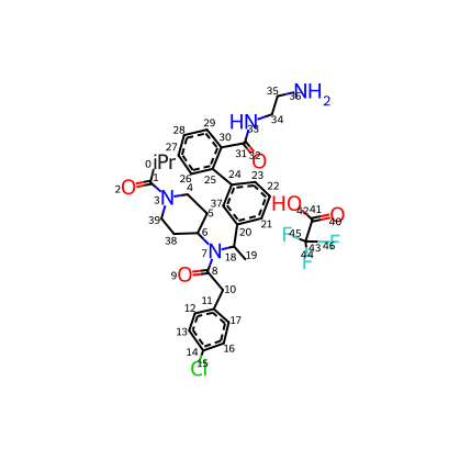 CC(C)C(=O)N1CCC(N(C(=O)Cc2ccc(Cl)cc2)C(C)c2cccc(-c3ccccc3C(=O)NCCN)c2)CC1.O=C(O)C(F)(F)F